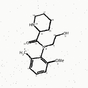 COc1cccc(C)c1N(CCO)C(=O)C1CCCCN1